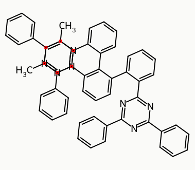 Cc1cc(C)nc(-c2cccc(-c3ccccc3-c3nc(-c4ccccc4)nc(-c4ccccc4)n3)c2-c2ccccc2-c2cc(-c3ccccc3)nc(-c3ccccc3)n2)n1